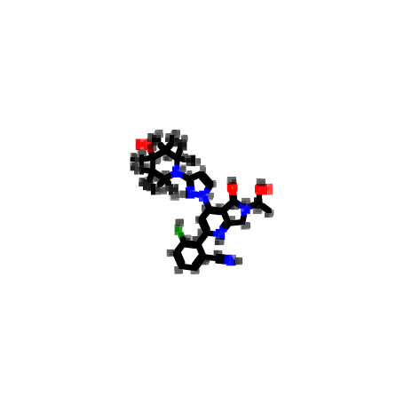 [2H]C1([2H])N(c2ccn(-c3cc(-c4c(F)cccc4C#N)nc4c3C(=O)N(B(C)O)C4)n2)C([2H])([2H])C([2H])([2H])C([2H])(O)C1([2H])[2H]